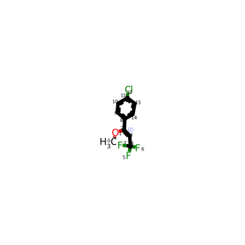 CO/C(=C\C(F)(F)F)c1ccc(Cl)cc1